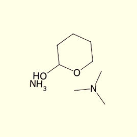 CN(C)C.N.OC1CCCCO1